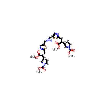 CC(C)(C)OC(=O)[C@@H](Cc1ncc(CNCc2cnc(C[C@H](C(=O)OC(C)(C)C)[C@H]3CCN(C(=O)OC(C)(C)C)C3)s2)s1)[C@H]1CCN(C(=O)OC(C)(C)C)C1